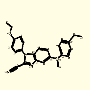 CCOc1ccc(-n2c(C#N)nc3cc(N(C)c4ccc(CC)cc4)ccc32)cc1